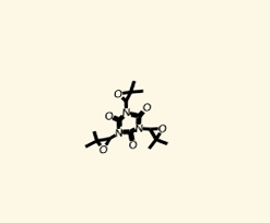 CC1(C)OC1n1c(=O)n(C2OC2(C)C)c(=O)n(C2OC2(C)C)c1=O